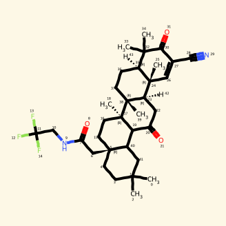 CC1(C)CC[C@]2(CC(=O)NCC(F)(F)F)CC[C@]3(C)C(C(=O)C[C@@H]4[C@@]5(C)C=C(C#N)C(=O)C(C)(C)[C@@H]5CC[C@]43C)C2C1